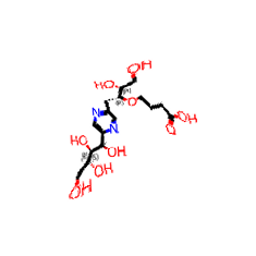 O=C(O)CCCO[C@H](Cc1cnc([C@@H](O)[C@H](O)[C@H](O)CO)cn1)[C@H](O)CO